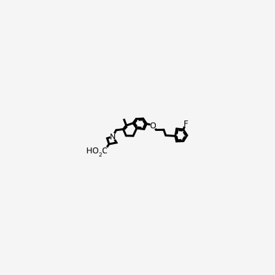 CC1=C(CN2CC(C(=O)O)C2)CCc2cc(OCCCc3cccc(F)c3)ccc21